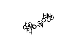 CC(=O)NC(=O)CC1CCC(c2ncc(-c3ccc(NC(=O)c4c(F)cccc4F)cc3)s2)CC1